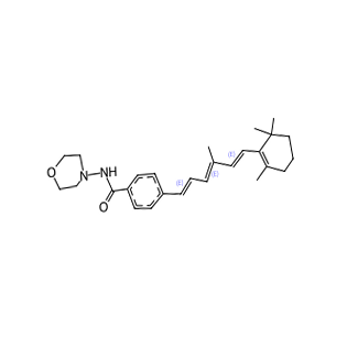 CC1=C(/C=C/C(C)=C/C=C/c2ccc(C(=O)NN3CCOCC3)cc2)C(C)(C)CCC1